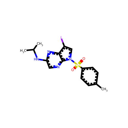 Cc1ccc(S(=O)(=O)n2cc(I)c3nc(NC(C)C)cnc32)cc1